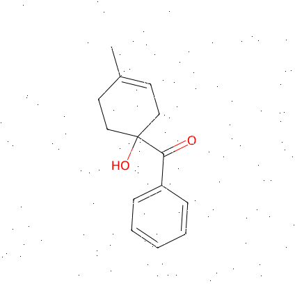 CC1=CCC(O)(C(=O)c2ccccc2)CC1